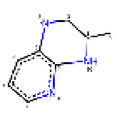 CC1C[N]c2cccnc2N1